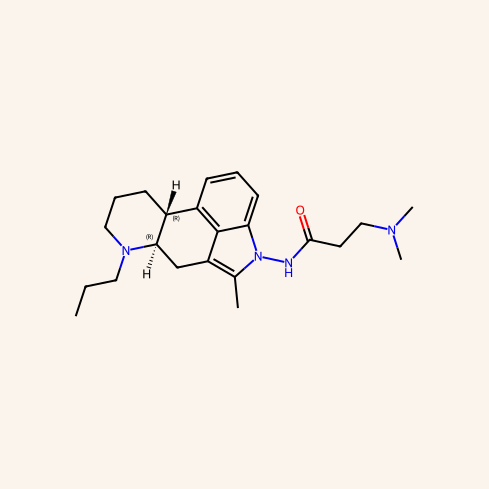 CCCN1CCC[C@@H]2c3cccc4c3c(c(C)n4NC(=O)CCN(C)C)C[C@H]21